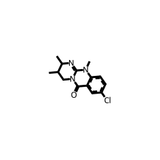 CC1CN2C(=O)c3cc(Cl)ccc3N(C)C2=NC1C